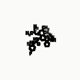 CC(C)CN(CC(C)C)c1ccc(C2(c3nnn[nH]3)CCCC2)cc1NC(=O)Nc1ccc(F)cc1F